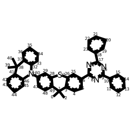 CC1(C)c2ccc(-c3nc(-c4ccccc4)nc(-c4ccccc4)n3)cc2Sc2cc(N3c4ccccc4C(C)(C)c4ccccc43)ccc21